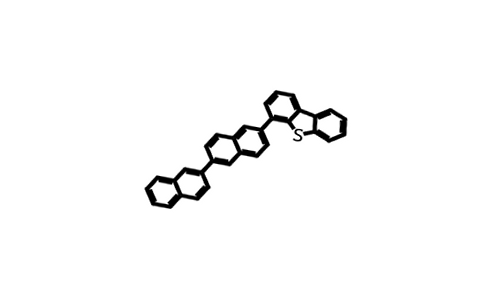 c1ccc2cc(-c3ccc4cc(-c5cccc6c5sc5ccccc56)ccc4c3)ccc2c1